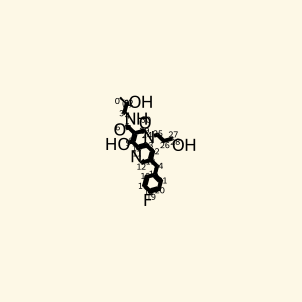 C[C@@H](O)CNC(=O)c1c(O)c2ncc(Cc3ccc(F)cc3)cc2n(CCCO)c1=O